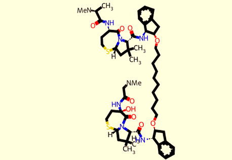 CNCC(=O)N[C@@]1(O)CCS[C@H]2CC(C)(C)[C@@H](C(=O)N[C@H]3c4ccccc4C[C@H]3OCCCCCCCCCCO[C@@H]3Cc4ccccc4[C@@H]3NC(=O)[C@H]3N4C(=O)[C@@H](NC(=O)[C@H](C)NC)CCS[C@H]4CC3(C)C)N2C1=O